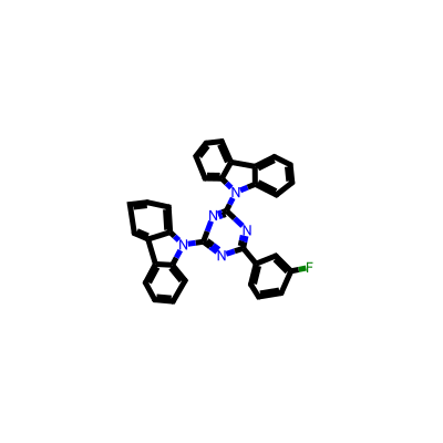 Fc1cccc(-c2nc(-n3c4ccccc4c4ccccc43)nc(-n3c4ccccc4c4ccccc43)n2)c1